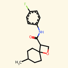 CC1CCC2(CC1)OCC2C(=O)Nc1ccc(F)cc1